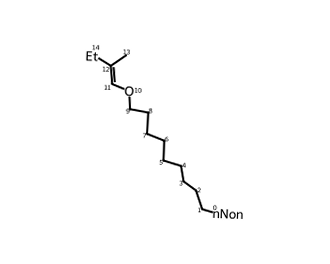 CCCCCCCCCCCCCCCCCCO/C=C(\C)CC